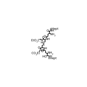 CCCCCCCNC(=O)C(N)CCC(=O)NC(CSSCC(NC(=O)CCC(N)C(O)NCCCCCCC)C(=O)NCC(=O)OCC)C(=O)NCC(=O)OCC